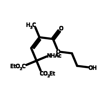 CCOC(=O)C(C=C(C)C(=O)OCCO)(NC(C)=O)C(=O)OCC